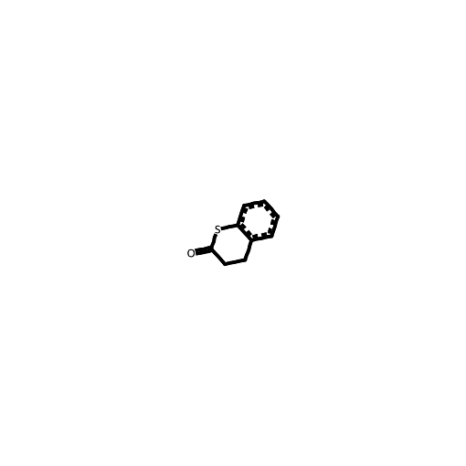 O=C1CCc2ccccc2S1